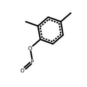 Cc1ccc(OP=O)c(C)c1